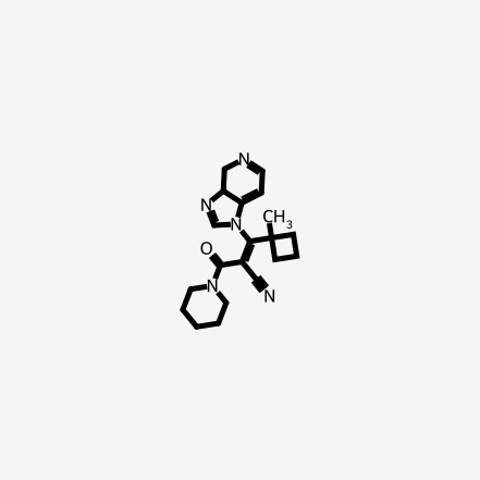 CC1(C(=C(C#N)C(=O)N2CCCCC2)N2C=NC3CN=CC=C32)CCC1